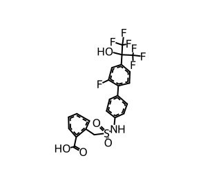 O=C(O)c1ccccc1CS(=O)(=O)Nc1ccc(-c2ccc(C(O)(C(F)(F)F)C(F)(F)F)cc2F)cc1